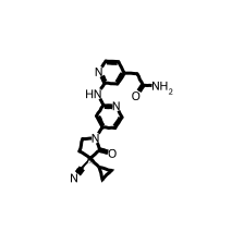 N#C[C@@]1(C2CC2)CCN(c2ccnc(Nc3cc(CC(N)=O)ccn3)c2)C1=O